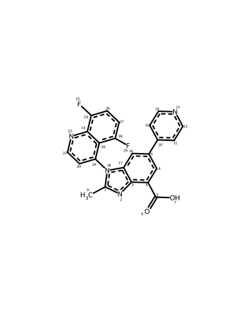 Cc1nc2c(C(=O)O)cc(-c3ccncc3)cc2n1-c1ccnc2c(F)ccc(F)c12